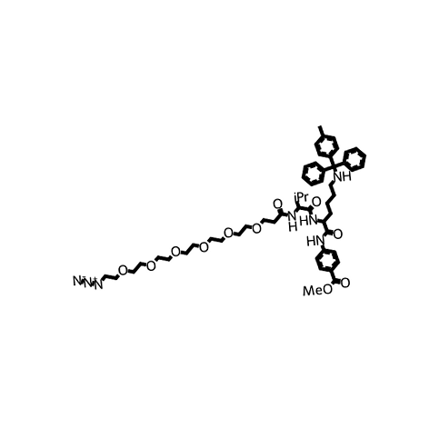 COC(=O)c1ccc(NC(=O)C(CCCCNC(c2ccccc2)(c2ccccc2)c2ccc(C)cc2)NC(=O)C(NC(=O)CCOCCOCCOCCOCCOCCOCCN=[N+]=[N-])C(C)C)cc1